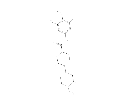 CCC[C@H]1CC[C@H]([C@H]2CC[C@H](C(=O)Oc3cc(F)c(OC(F)(F)F)c(F)c3)CC2)CC1